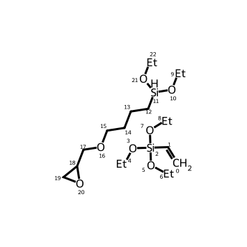 C=C[Si](OCC)(OCC)OCC.CCO[SiH](CCCCOCC1CO1)OCC